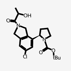 CC(O)C(=O)N1Cc2cc(Cl)cc([C@H]3CCCN3C(=O)OC(C)(C)C)c2C1